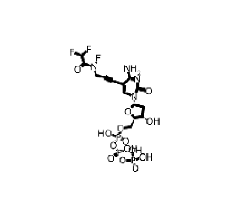 Nc1nc(=O)n([C@H]2C[C@H](O)[C@@H](COP(=O)(O)OP(=O)(O)OP(=O)(O)O)O2)cc1C#CCN(F)C(=O)C(F)F